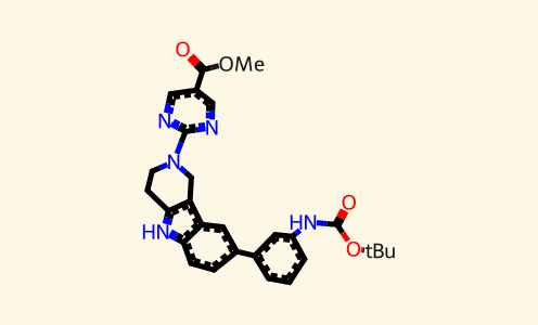 COC(=O)c1cnc(N2CCc3[nH]c4ccc(-c5cccc(NC(=O)OC(C)(C)C)c5)cc4c3C2)nc1